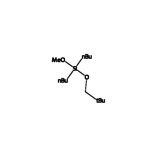 CCCC[Si](CCCC)(OC)OCC(C)(C)C